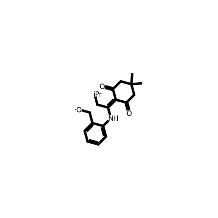 CC(C)CC(Nc1ccccc1C[O])=C1C(=O)CC(C)(C)CC1=O